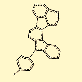 Fc1ccc(-n2c3ccccc3c3c4c(ccc32)-c2cccc3cccc-4c23)cc1